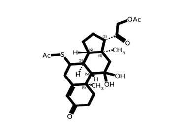 CC(=O)OCC(=O)[C@H]1CC[C@H]2[C@@H]3C(SC(C)=O)CC4=CC(=O)CC[C@]4(C)[C@H]3C(O)(O)C[C@]12C